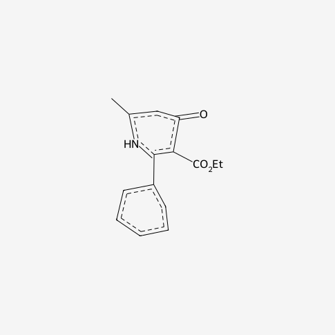 CCOC(=O)c1c(-c2ccccc2)[nH]c(C)cc1=O